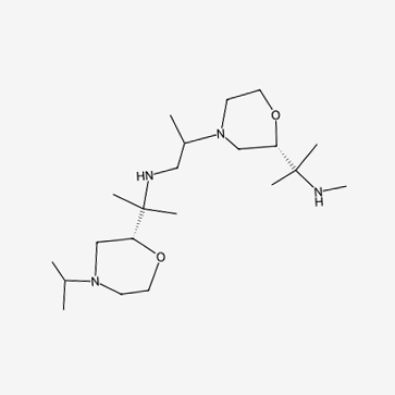 CNC(C)(C)[C@@H]1CN(C(C)CNC(C)(C)[C@H]2CN(C(C)C)CCO2)CCO1